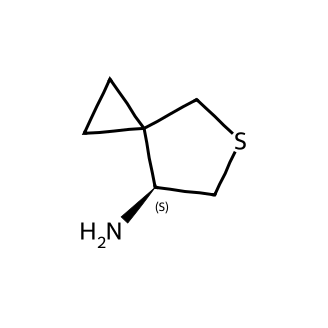 N[C@@H]1CSCC12CC2